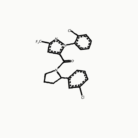 O=C(c1cc(C(F)(F)F)nn1-c1ccccc1Cl)N1CCCC1c1cccc(Cl)c1